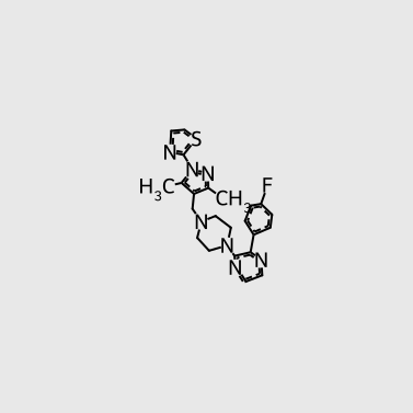 Cc1nn(-c2nccs2)c(C)c1CN1CCN(c2nccnc2-c2ccc(F)cc2)CC1